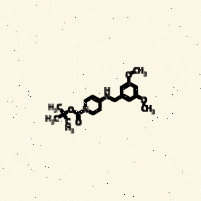 COc1cc(CNC2=CCN(C(=O)OC(C)(C)C)CC2)cc(OC)c1